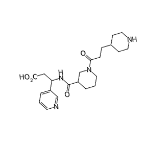 O=C(O)CC(NC(=O)C1CCCN(C(=O)CCC2CCNCC2)C1)c1cccnc1